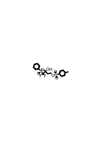 Cc1ccc(S(=O)(=O)OCCC(C)(O)C(F)(F)S(=O)(=O)c2ccccc2)cc1